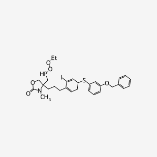 CCOOPCC1(CCCC2=CCC(Sc3cccc(OCc4ccccc4)c3)C=C2I)COC(=O)N1C